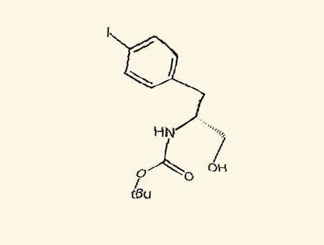 CC(C)(C)OC(=O)N[C@@H](CO)Cc1ccc(I)cc1